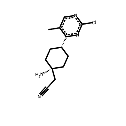 Cc1cnc(Cl)nc1[C@H]1CC[C@](N)(CC#N)CC1